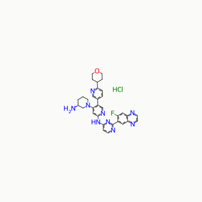 Cl.N[C@H]1CCCN(c2cc(Nc3ccnc(-c4cc5nccnc5cc4F)n3)ncc2-c2ccc(C3CCOCC3)nc2)C1